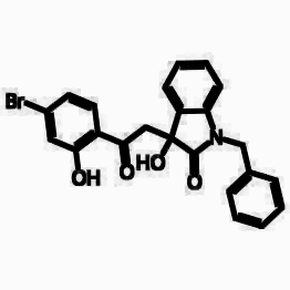 O=C(CC1(O)C(=O)N(Cc2ccccc2)c2ccccc21)c1ccc(Br)cc1O